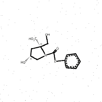 O=C(Oc1ccccc1)N1C[C@H](O)C[C@]1(CO)C(=O)O